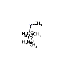 C=C(CC/C=C\CC)OC(C)(C)CCON(C)N